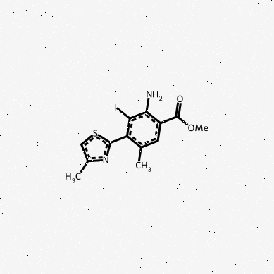 COC(=O)c1cc(C)c(-c2nc(C)cs2)c(I)c1N